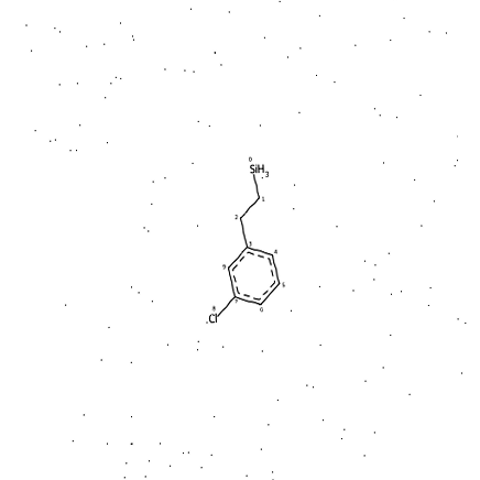 [SiH3]CCc1cccc(Cl)c1